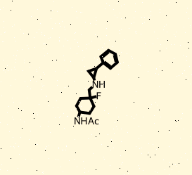 CC(=O)NC1CCC(F)(CNC2CC2c2ccccc2)CC1